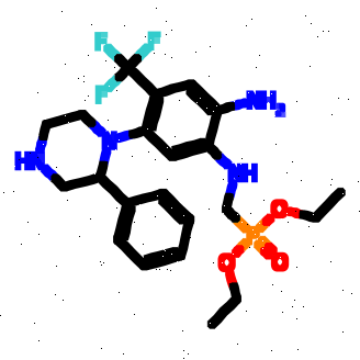 CCOP(=O)(CNc1cc(N2CCNCC2c2ccccc2)c(C(F)(F)F)cc1N)OCC